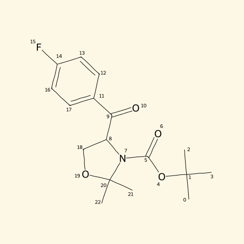 CC(C)(C)OC(=O)N1C(C(=O)c2ccc(F)cc2)COC1(C)C